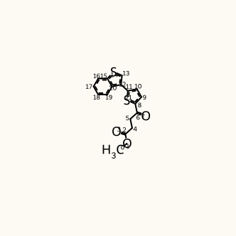 COC(=O)CCC(=O)c1ccc(-c2csc3ccccc23)s1